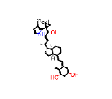 C=C1/C(=C\C=C2/CCC[C@]3(C)[C@@H]([C@H](C)/C=C/[C@H](O)C4(c5[nH]ccc5C(C)CCC)CC4)CC[C@@H]23)C[C@@H](O)C[C@@H]1O